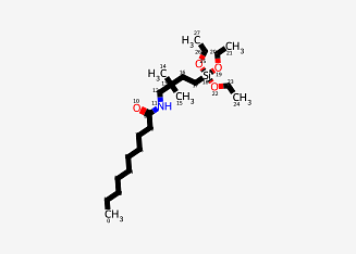 CCCCC[CH]CCCC(=O)NCC(C)(C)CC[Si](OCC)(OCC)OCC